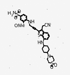 COc1cc(S(N)(=O)=O)ccc1NCC#Cc1sc2c(NC3CCC(N4CCS(=O)(=O)CC4)CC3)cccc2c1CC#N